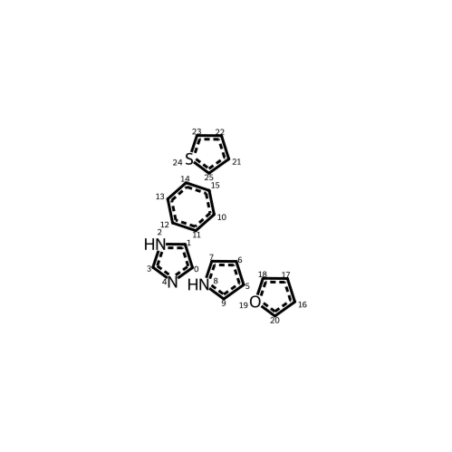 c1c[nH]cn1.c1cc[nH]c1.c1ccccc1.c1ccoc1.c1ccsc1